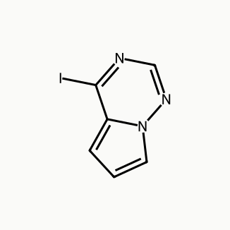 Ic1ncnn2cccc12